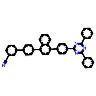 N#Cc1cccc(-c2ccc(-c3ccc(-c4ccc(-c5nc(-c6ccccc6)nc(-c6ccccc6)n5)cc4)c4ccccc34)cc2)c1